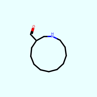 O=CC1CCCCCCCCCCNC1